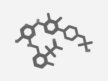 CC(=O)C(C)(C)c1c(C)cccc1CNc1nc(Nc2ccc(C3CCN(CC(C)(C)O)CC3)c(C)c2C)ncc1Cl